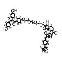 CCC(NC(=O)COCCOCCOCCOc1ccc(C(=O)c2c(-c3ccc(O)cc3)sc3cc(O)ccc23)cc1)C(=O)N1C[C@H](O)C[C@H]1C(=O)NCc1ccc(-c2scnc2C)cc1